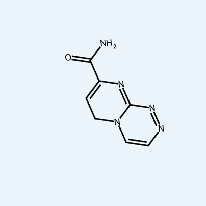 NC(=O)C1=CCN2C=CN=NC2=N1